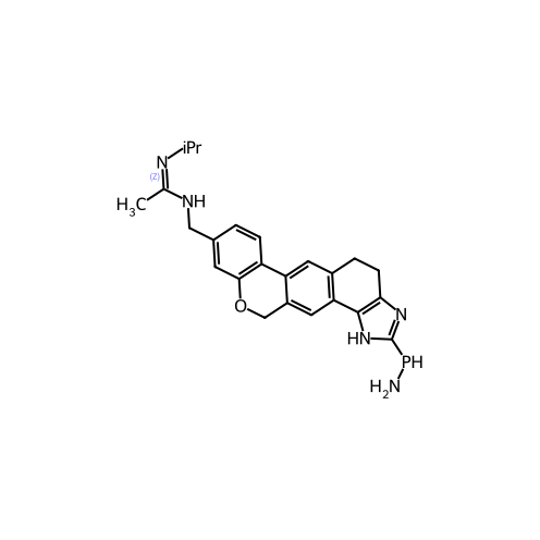 C/C(=N/C(C)C)NCc1ccc2c(c1)OCc1cc3c(cc1-2)CCc1nc(PN)[nH]c1-3